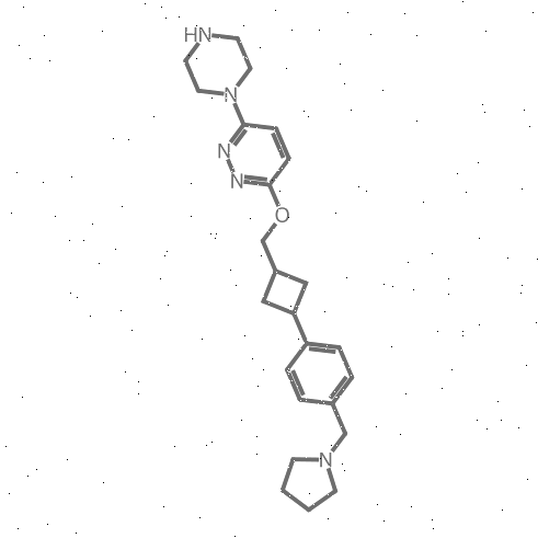 c1cc(C2CC(COc3ccc(N4CCNCC4)nn3)C2)ccc1CN1CCCC1